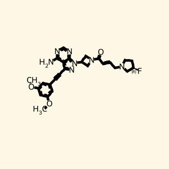 COc1cc(C#Cc2nn(C3CN(C(=O)C=CCN4CC[C@@H](F)C4)C3)c3ncnc(N)c23)cc(OC)c1